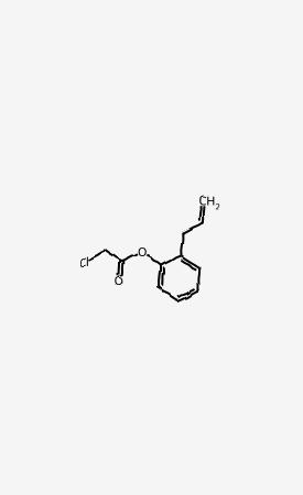 C=CCc1ccccc1OC(=O)CCl